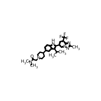 Cc1nc2c(C(F)(F)F)cc(-c3[nH]c4ccc(C5CCN(CC(=O)N(C)C)CC5)cc4c3C(C)C)cn2n1